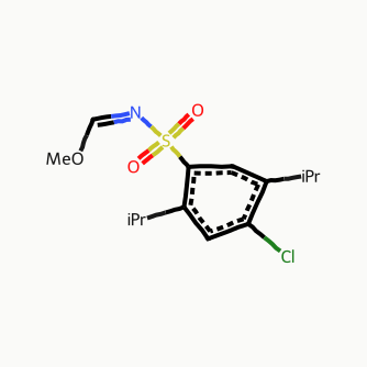 CO/C=N\S(=O)(=O)c1cc(C(C)C)c(Cl)cc1C(C)C